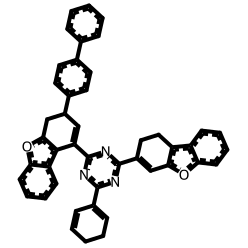 C1=CC(c2nc(C3=Cc4oc5ccccc5c4CC3)nc(C3=CC(c4ccc(-c5ccccc5)cc4)Cc4oc5ccccc5c43)n2)=CCC1